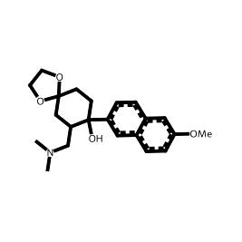 COc1ccc2cc(C3(O)CCC4(CC3CN(C)C)OCCO4)ccc2c1